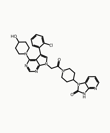 O=C(Cn1cc(-c2ccccc2Cl)c2c(N3CCC(O)CC3)ncnc21)N1CCC(n2c(=O)[nH]c3ncccc32)CC1